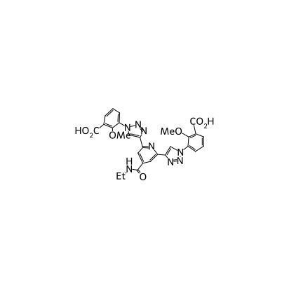 CCNC(=O)c1cc(-c2cn(-c3cccc(C(=O)O)c3OC)nn2)nc(-c2cn(-c3cccc(C(=O)O)c3OC)nn2)c1